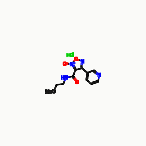 COCCNC(=O)c1c(-c2cccnc2)no[n+]1[O-].Cl